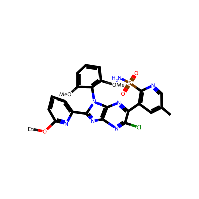 CCOc1cccc(-c2nc3nc(Cl)c(-c4cc(C)cnc4S(N)(=O)=O)nc3n2-c2c(OC)cccc2OC)n1